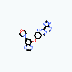 C=N/C(N[C@H]1CC[C@@H](Oc2cc(N3CCOCC3)cc3nccnc23)CC1)=C1/N=CN/C1=N/C